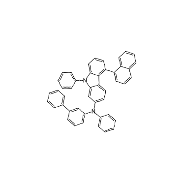 c1ccc(-c2cccc(N(c3ccccc3)c3ccc4c5c(-c6cccc7ccccc67)cccc5n(-c5ccccc5)c4c3)c2)cc1